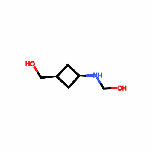 OCN[C@H]1C[C@@H](CO)C1